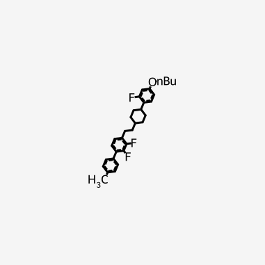 CCCCOc1ccc(C2CCC(CCc3ccc(-c4ccc(C)cc4)c(F)c3F)CC2)c(F)c1